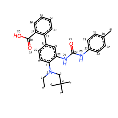 CCN(CC(C)(C)C)c1ccc(-c2ccccc2C(=O)O)cc1NC(=O)Nc1ccc(C)cc1